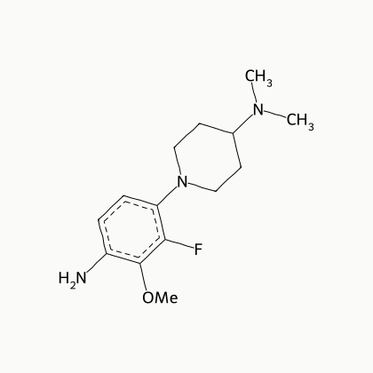 COc1c(N)ccc(N2CCC(N(C)C)CC2)c1F